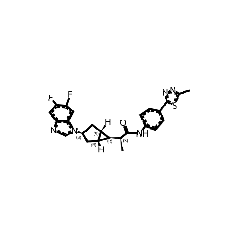 Cc1nnc(-c2ccc(NC(=O)[C@@H](C)[C@H]3[C@@H]4C[C@@H](n5cnc6cc(F)c(F)cc65)C[C@@H]43)cc2)s1